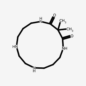 CC1(C)C(=O)NCCCNCCNCCCNC1=O